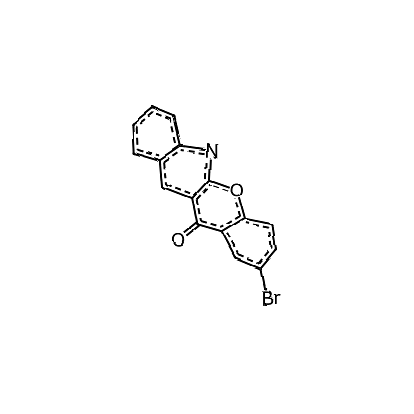 O=c1c2cc(Br)ccc2oc2nc3ccccc3cc12